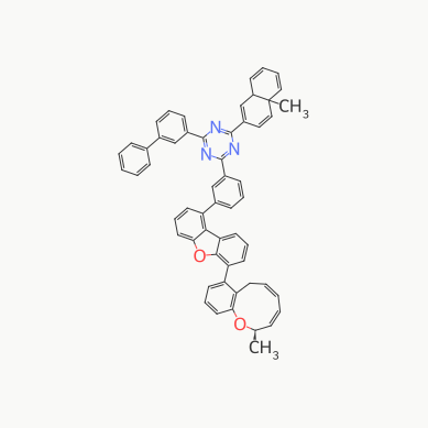 C[C@@H]1/C=C\C=C/Cc2c(cccc2-c2cccc3c2oc2cccc(-c4cccc(-c5nc(C6=CC7C=CC=CC7(C)C=C6)nc(-c6cccc(-c7ccccc7)c6)n5)c4)c23)O1